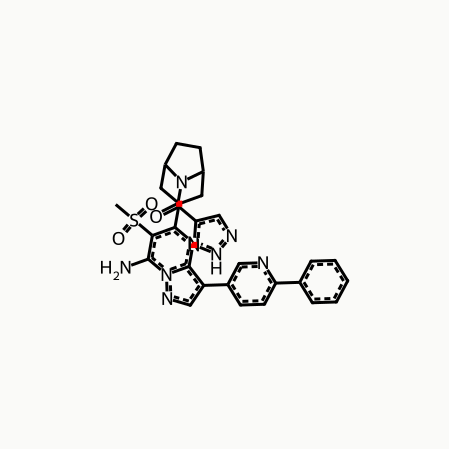 CS(=O)(=O)c1c(C2CC3CCC(C2)N3C(=O)c2cn[nH]n2)nc2c(-c3ccc(-c4ccccc4)nc3)cnn2c1N